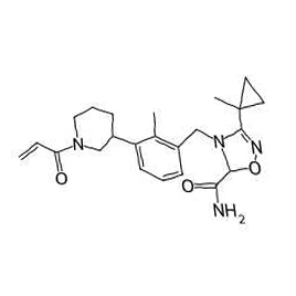 C=CC(=O)N1CCCC(c2cccc(CN3C(C4(C)CC4)=NOC3C(N)=O)c2C)C1